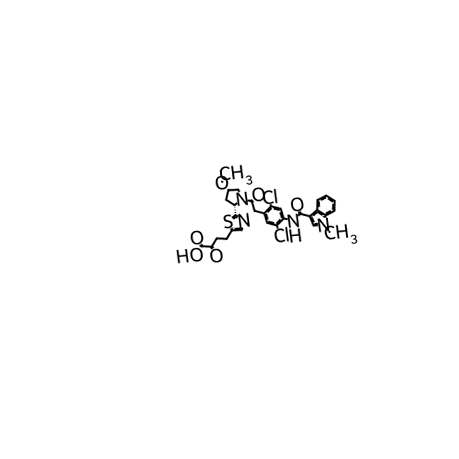 CO[C@H]1C[C@@H](c2ncc(CCC(=O)C(=O)O)s2)N(C(=O)Cc2cc(Cl)c(NC(=O)c3cn(C)c4ccccc34)cc2Cl)C1